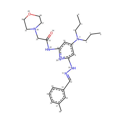 CCCN(CCC)c1cc(N/N=C/c2cccc(C)c2)nc(NC(=O)CN2CCOCC2)c1